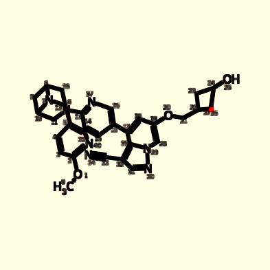 COc1ccc(CN2C3CC2CN(c2ccc(-c4cc(OCC56CC(O)(C5)C6)cn5ncc(C#N)c45)cn2)C3)cn1